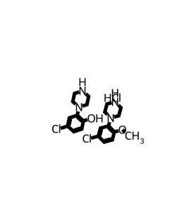 COc1ccc(Cl)cc1N1CCNCC1.Cl.Oc1ccc(Cl)cc1N1CCNCC1